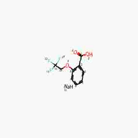 O=C(O)c1ccccc1OCC(F)(F)F.[NaH]